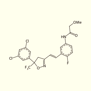 COCC(=O)Nc1ccc(F)c(/C=C/C2=NOC(c3cc(Cl)cc(Cl)c3)(C(F)(F)F)C2)c1